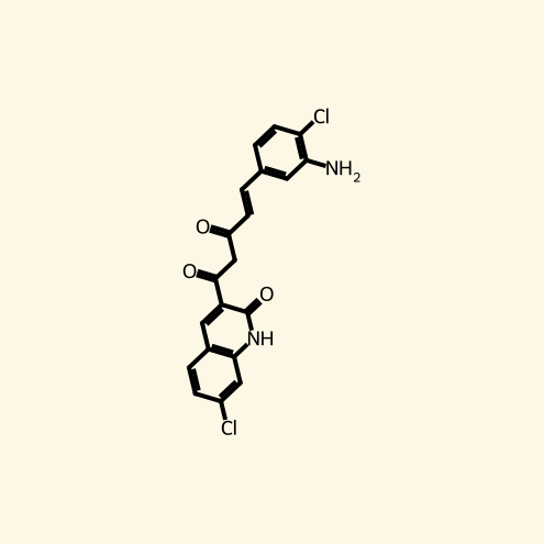 Nc1cc(C=CC(=O)CC(=O)c2cc3ccc(Cl)cc3[nH]c2=O)ccc1Cl